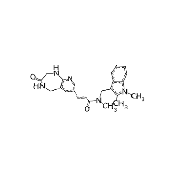 Cc1c(CN(C)C(=O)/C=C/c2cnc3c(c2)CNC(=O)CN3)c2ccccc2n1C